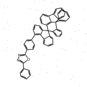 c1ccc(-c2nnc(-c3ccc(-c4cccc5c4-c4ccccc4C54c5ccccc5C5(c6ccccc6)c6ccccc6-c6cccc4c65)cc3)o2)cc1